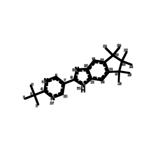 CC(C)(C)c1ncc(-c2nc3cc4c(cc3[nH]2)C(C)(C)C(C)(C)C4(C)C)cn1